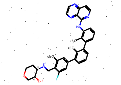 COc1cc(-c2cccc(-c3cccc(Nc4nccc5nccnc45)c3C)c2C)cc(F)c1CN[C@@H]1CCOC[C@@H]1O